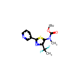 CN(C(=O)OC(C)(C)C)c1sc(-c2cccnc2)nc1C(C)(F)F